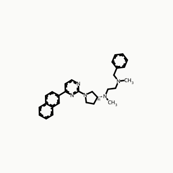 CN(CCN(C)[C@@H]1CCN(c2nccc(-c3ccc4ccccc4c3)n2)C1)Cc1ccccc1